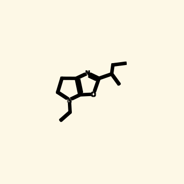 CCC(C)c1nc2c(o1)N(CC)CC2